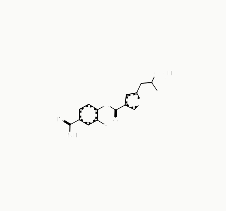 CC(Cc1cc(C(=O)Oc2ccc(C(=N)N)cc2F)co1)C(=O)O